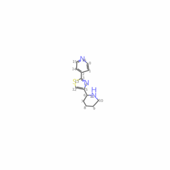 c1cc(-c2nc(C3CCCCN3)cs2)ccn1